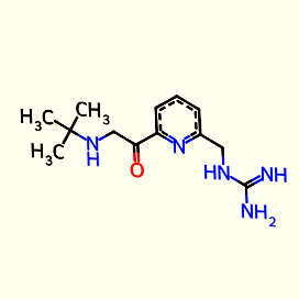 CC(C)(C)NCC(=O)c1cccc(CNC(=N)N)n1